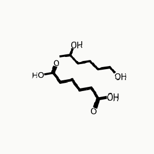 CC(O)CCCCO.O=C(O)CCCCC(=O)O